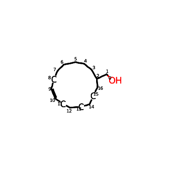 OCC1CCCCCCC=CCCCCCC1